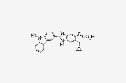 CCn1c2ccccc2c2cc(-c3nc4cc(OC(=O)O)c(CC5CC5)cc4[nH]3)ccc21